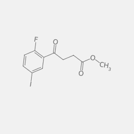 COC(=O)CCC(=O)c1cc(I)ccc1F